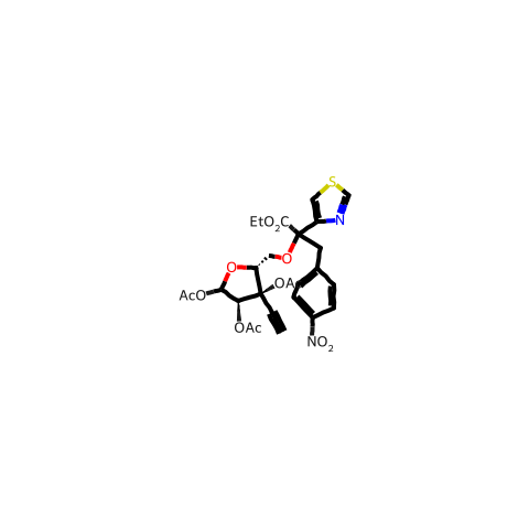 C#C[C@@]1(OC(C)=O)[C@@H](COC(Cc2ccc([N+](=O)[O-])cc2)(C(=O)OCC)c2cscn2)OC(OC(C)=O)[C@@H]1OC(C)=O